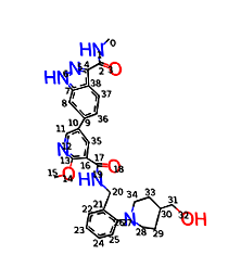 CNC(=O)c1n[nH]c2cc(-c3cnc(OC)c(C(=O)NCc4ccccc4N4CCC(CO)CC4)c3)ccc12